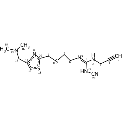 C#CCN/C(=N/CCSCc1nc(CN(C)C)cs1)NC#N